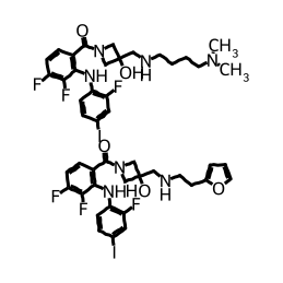 CN(C)CCCCNCC1(O)CN(C(=O)c2ccc(F)c(F)c2Nc2ccc(I)cc2F)C1.O=C(c1ccc(F)c(F)c1Nc1ccc(I)cc1F)N1CC(O)(CNCCc2ccco2)C1